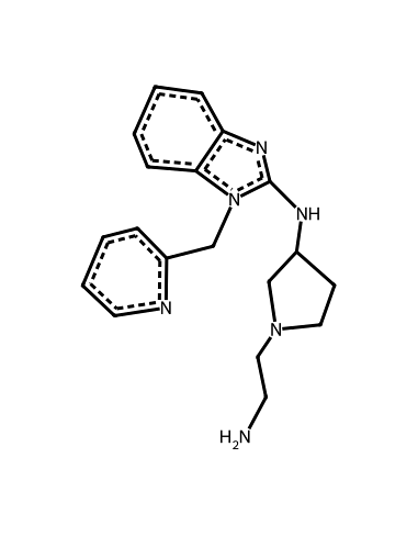 NCCN1CCC(Nc2nc3ccccc3n2Cc2ccccn2)C1